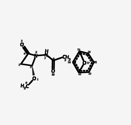 CO[C@@H]1CC(=O)N1NC(C)=O.c1cc2cc(c1)O2